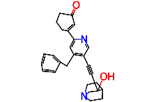 O=C1C=C(c2cc(Cc3ccccc3)c(C#CC3(O)CN4CCC3CC4)cn2)CCC1